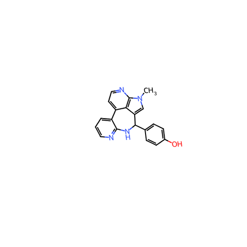 Cn1cc2c3c(ccnc31)-c1cccnc1NC2c1ccc(O)cc1